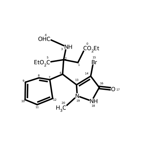 CCOC(=O)CC(NC=O)(C(=O)OCC)C(c1ccccc1)c1c(Br)c(=O)[nH]n1C